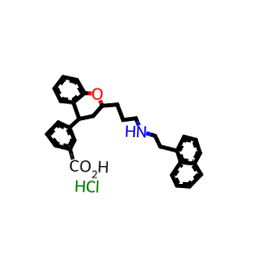 Cl.O=C(O)c1cccc(C2CC(CCCNCCc3cccc4ccccc34)Oc3ccccc32)c1